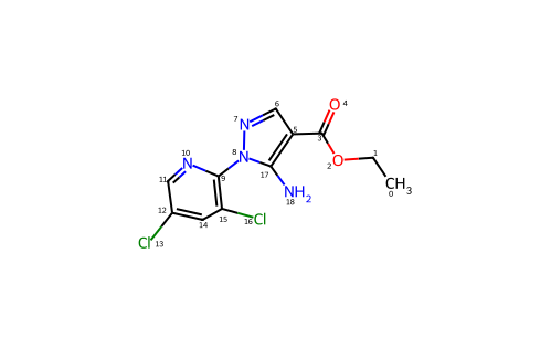 CCOC(=O)c1cnn(-c2ncc(Cl)cc2Cl)c1N